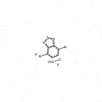 Brc1ccc(Br)c2nsnc12.O=C([O-])[O-].[K+].[K+]